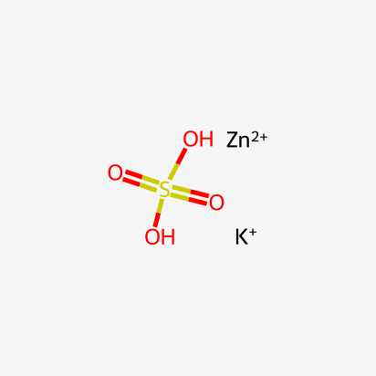 O=S(=O)(O)O.[K+].[Zn+2]